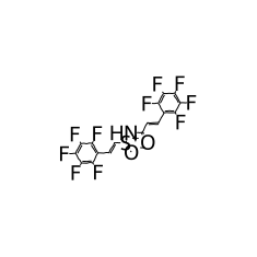 O=C(/C=C/c1c(F)c(F)c(F)c(F)c1F)N[S+]([O-])/C=C/c1c(F)c(F)c(F)c(F)c1F